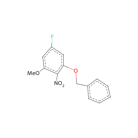 COc1cc(F)cc(OCc2ccccc2)c1[N+](=O)[O-]